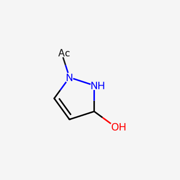 CC(=O)N1C=CC(O)N1